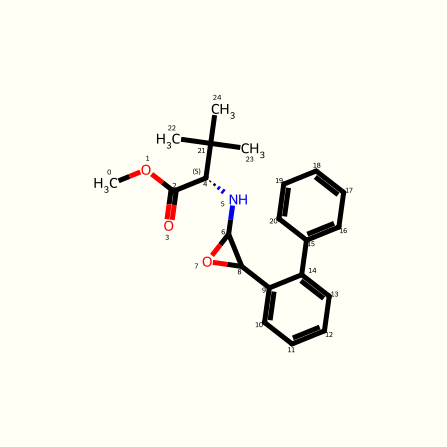 COC(=O)[C@@H](NC1OC1c1ccccc1-c1ccccc1)C(C)(C)C